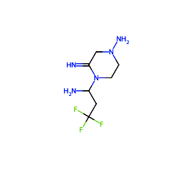 N=C1CN(N)CCN1C(N)CC(F)(F)F